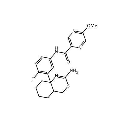 COc1cnc(C(=O)Nc2ccc(F)c(C34CCCCC3CSC(N)=N4)c2)cn1